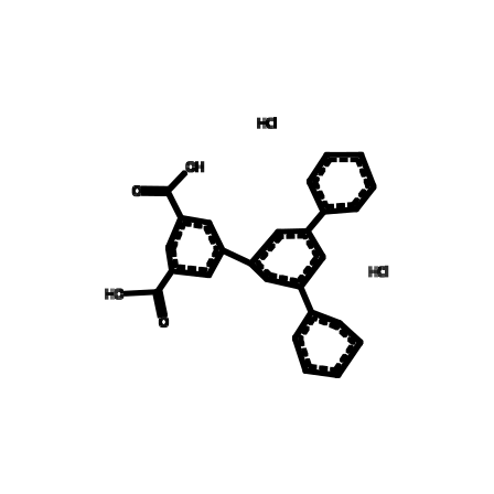 Cl.Cl.O=C(O)c1cc(C(=O)O)cc(-c2cc(-c3ccccc3)cc(-c3ccccc3)c2)c1